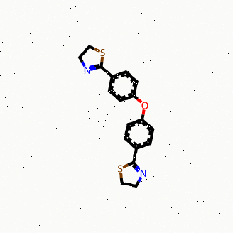 c1cc(C2=NCCS2)ccc1Oc1ccc(C2=NCCS2)cc1